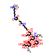 CNC(=O)CCCCCN1C(=O)CC(SCCC(=O)NCCCCCO[C@@H]2OC(CO)[C@H](O)[C@H](O[C@@H]3OC(CO[C@]4(C(=O)O)C[C@@H](O)[C@@H](C)C([C@H](O)[C@H](O)CO)O4)[C@@H](O)[C@H](O[C@@H]4OC(CO)[C@H](O)[C@H](O)C4O)C3NC(C)=O)C2O)C1=O